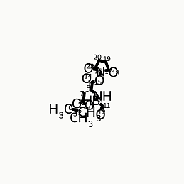 CC(C)(C)OC(=O)C[C@@H](NBC=O)C(=O)ON1C(=O)CCC1=O